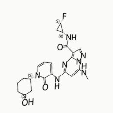 CNc1cc(Nc2cccn([C@H]3CCC[C@H](O)C3)c2=O)nc2c(C(=O)N[C@@H]3C[C@@H]3F)cnn12